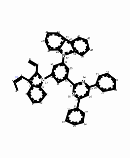 C=Cc1c(/C=C\C)c2ccccc2n1-c1cc(-c2nc(-c3ccccc3)cc(-c3ccccc3)n2)cc(-n2c3ccccc3c3ccccc32)c1